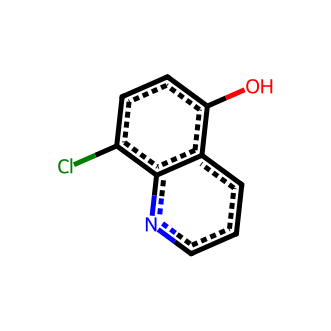 Oc1ccc(Cl)c2ncccc12